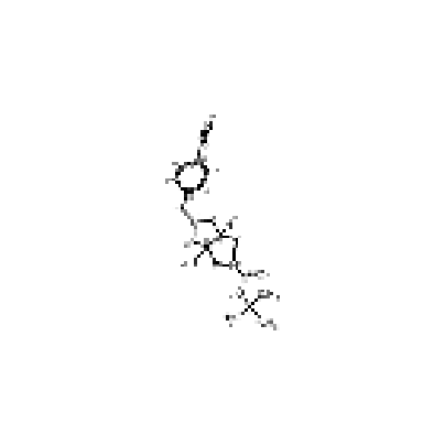 CC(C)(C)OC(=O)N1C[C@H]2CN(Cc3ccc(C#N)cc3)C[C@H]2C1